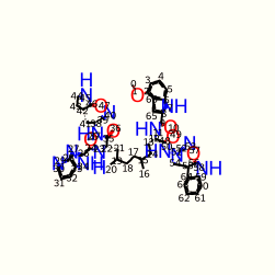 COc1cccc2[nH]c(C(=O)N[C@@H](CCC(C)CCC(C)C[C@H](NC(=O)c3nc4ncccc4[nH]3)C(=O)N[C@H](C#N)C[C@@H]3CCNC3=O)C(=O)NN(C#N)CC3C(=O)Nc4ccccc43)cc12